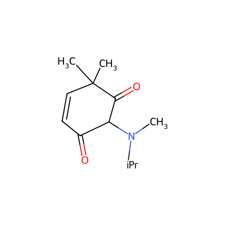 CC(C)N(C)C1C(=O)C=CC(C)(C)C1=O